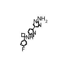 Nc1ncc(-c2ccc(NC3(c4ccc(F)cc4)CCC3)nn2)cn1